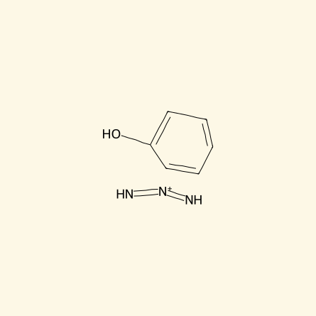 N=[N+]=N.Oc1ccccc1